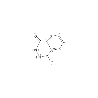 O=C1NN[CH]([Pt])c2ccccc21